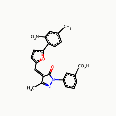 CC1=NN(c2cccc(C(=O)O)c2)C(=O)C1=Cc1ccc(-c2ccc(C)cc2[N+](=O)[O-])o1